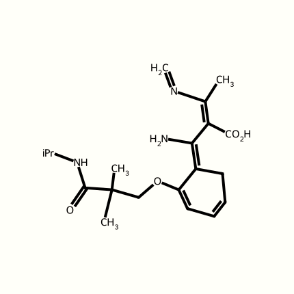 C=N/C(C)=C(C(=O)O)\C(N)=C1/CC=CC=C1OCC(C)(C)C(=O)NC(C)C